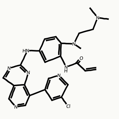 C=CC(=O)Nc1cc(Nc2ncc3cncc(-c4cncc(Cl)c4)c3n2)ccc1N(C)CCN(C)C